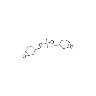 CC(C)(OCC1CCC2OC2C1)OCC1CCC2OC2C1